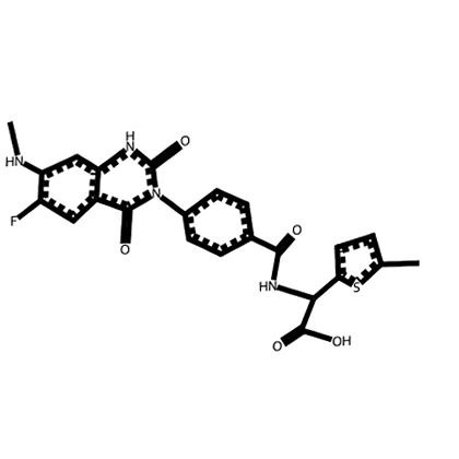 CNc1cc2[nH]c(=O)n(-c3ccc(C(=O)NC(C(=O)O)c4ccc(C)s4)cc3)c(=O)c2cc1F